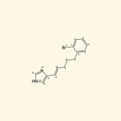 Brc1ccccc1CCCC=Cc1c[nH]cn1